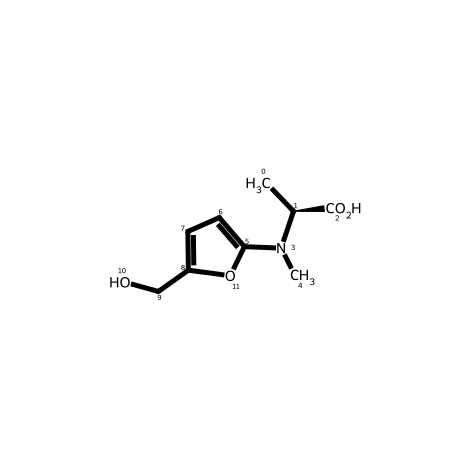 C[C@@H](C(=O)O)N(C)c1ccc(CO)o1